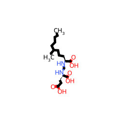 CCCCCC(CC)CCC[C@H](NCN[C@@H](CCC(=O)O)C(=O)O)C(=O)O